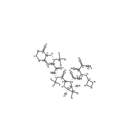 CC(C)(C)[C@H](NC(=O)N[C@H](CN1C(=O)CCCC1=O)C(C)(C)C)C(=O)N1C[C@H]2[C@@H]([C@H]1C(=O)NC(CC1CCC1)C(=O)C(N)=O)C2(C)C